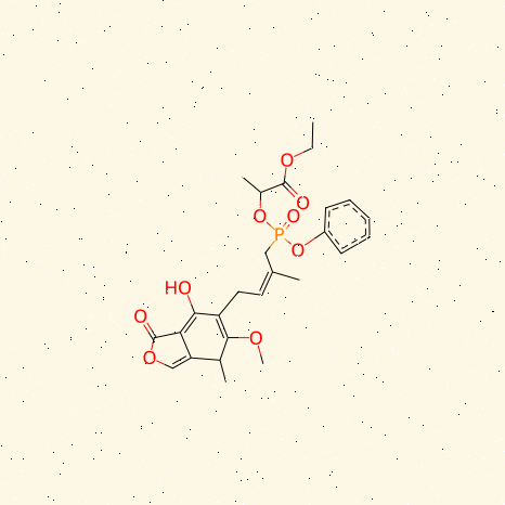 CCOC(=O)C(C)OP(=O)(CC(C)=CCC1=C(OC)C(C)C2=COC(=O)C2=C1O)Oc1ccccc1